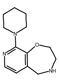 c1cc2c(c(N3CCCCC3)n1)OCCNC2